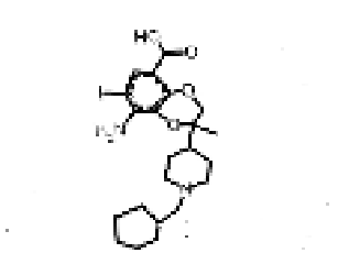 CC1(C2CCN(CC3CCCCC3)CC2)COc2c(C(=O)O)cc(I)c(N)c2O1